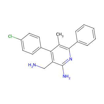 Cc1c(-c2ccccc2)nc(N)c(CN)c1-c1ccc(Cl)cc1